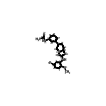 COc1ccc(F)cc1Nc1nc2ccc(-c3cccc(NC(C)=O)c3)cn2n1